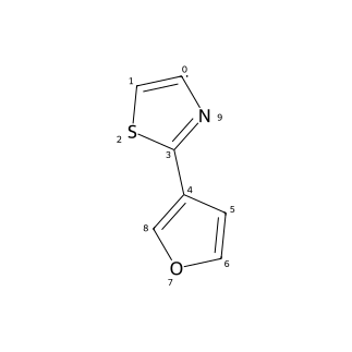 [c]1csc(-c2ccoc2)n1